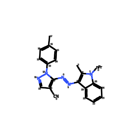 CCCn1c(C)c(N=Nc2c(C#N)cnn2-c2ccc(C)cc2)c2ccccc21